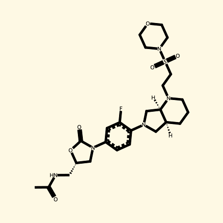 CC(=O)NC[C@H]1CN(c2ccc(N3C[C@@H]4CCCN(CCS(=O)(=O)N5CCOCC5)[C@@H]4C3)c(F)c2)C(=O)O1